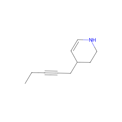 CCC#CCC1C=CNCC1